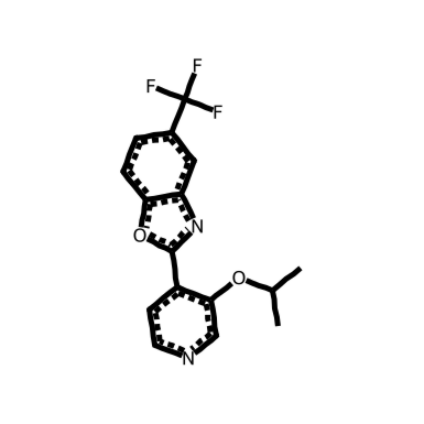 CC(C)Oc1cnccc1-c1nc2cc(C(F)(F)F)ccc2o1